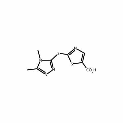 Cc1nnc(Sc2ncc(C(=O)O)s2)n1C